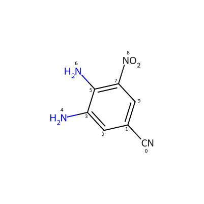 N#Cc1cc(N)c(N)c([N+](=O)[O-])c1